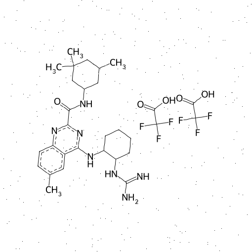 Cc1ccc2nc(C(=O)NC3CC(C)CC(C)(C)C3)nc(NC3CCCCC3NC(=N)N)c2c1.O=C(O)C(F)(F)F.O=C(O)C(F)(F)F